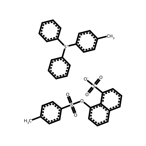 Cc1ccc(S(=O)(=O)Oc2cccc3cccc(S(=O)(=O)[O-])c23)cc1.Cc1ccc([S+](c2ccccc2)c2ccccc2)cc1